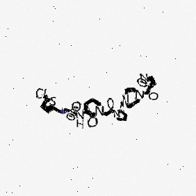 O=C(c1ccno1)N1CCN(C[C@@H]2CCCN2C(=O)CN2CCC[C@H](NS(=O)(=O)/C=C/c3ccc(Cl)s3)C2=O)CC1